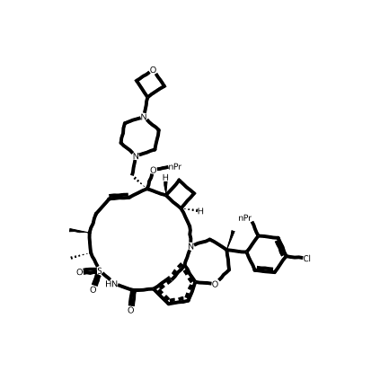 CCCO[C@]1(CN2CCN(C3COC3)CC2)/C=C/C[C@H](C)[C@@H](C)S(=O)(=O)NC(=O)c2ccc3c(c2)N(C[C@@H]2CC[C@H]21)C[C@](C)(C1C=CC(Cl)=CC1CCC)CO3